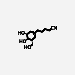 N#CCCCCN1C[C@H](CO)[C@@H](O)[C@H](O)C1